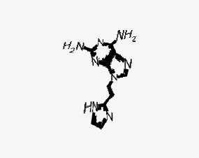 Nc1nc(N)c2ncn(CCc3ncc[nH]3)c2n1